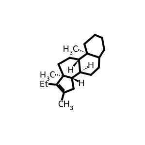 CCC1=C(C)C[C@H]2[C@@H]3CCC4CCCC[C@]4(C)[C@H]3CC[C@]12C